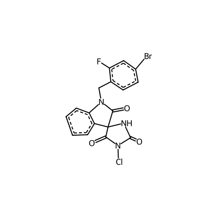 O=C1NC2(C(=O)N1Cl)C(=O)N(Cc1ccc(Br)cc1F)c1ccccc12